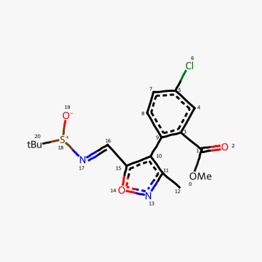 COC(=O)c1cc(Cl)ccc1-c1c(C)noc1C=N[S+]([O-])C(C)(C)C